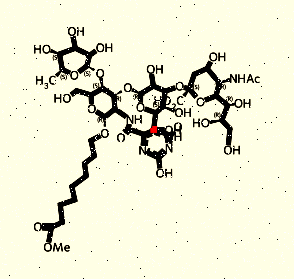 COC(=O)CCCCCCCCO[C@@H]1OC(CO)[C@@H](O[C@@H]2O[C@@H](C)[C@@H](O)C(O)C2O)[C@H](O[C@@H]2OC(CO)[C@H](O)C(O[C@]3(C(=O)O)CC(O)[C@@H](NC(C)=O)C([C@H](O)[C@H](O)CO)O3)C2O)C1NC(=O)c1cc(O)nc(O)n1